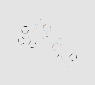 CCC(C)C(C(CC(=O)N1CCC[C@H]1C(OC)C(C)C(=O)NC(C)C(O)c1ccccc1)OC)N(C)C(=O)C(NC(=O)C(C(C)C)N(C)CCSC(c1ccccc1)(c1ccccc1)c1ccccc1)C(C)C